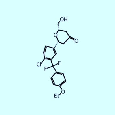 CCOc1ccc(C(F)(F)c2cc([C@H]3CC(=O)C[C@@H](CO)O3)ccc2Cl)cc1